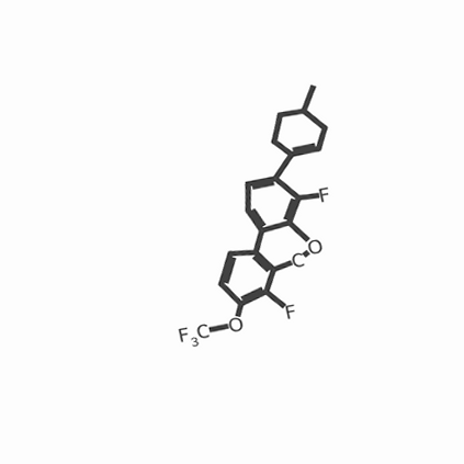 CC1CC=C(c2ccc3c(c2F)OCc2c-3ccc(OC(F)(F)F)c2F)CC1